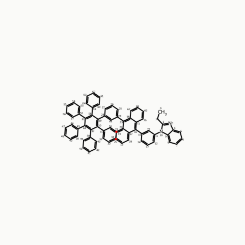 CCc1nc2ccccc2n1-c1cccc(-c2c3ccccc3c(-c3cccc(-c4c(-c5ccccc5)c(-c5ccccc5)c(-c5ccccc5)c(-c5ccccc5)c4-c4ccccc4)c3)c3ccccc23)c1